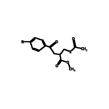 COC(=O)C(CSC(C)=O)CC(=O)c1ccc(Br)cc1